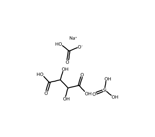 O=C(O)C(O)C(O)C(=O)O.O=C([O-])O.O=[Si](O)O.[Na+]